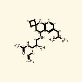 C=CC[C@H](NC(C)=O)[C@H](O)CN[C@H]1CC2(CCC2)Oc2ncc(CC(C)C)cc21